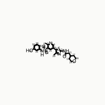 Cc1ncc(-c2sc(NC(=O)CC3CCOCC3)nc2C)cc1S(=O)(=O)Nc1cccc(O)c1